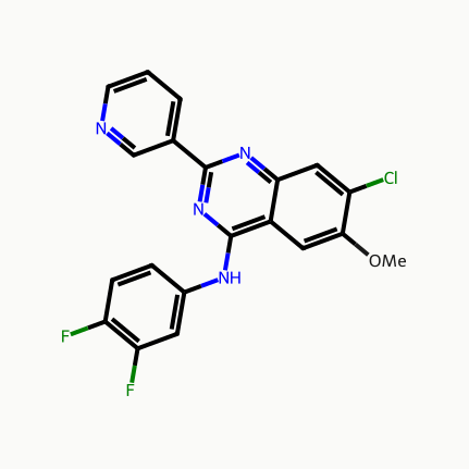 COc1cc2c(Nc3ccc(F)c(F)c3)nc(-c3cccnc3)nc2cc1Cl